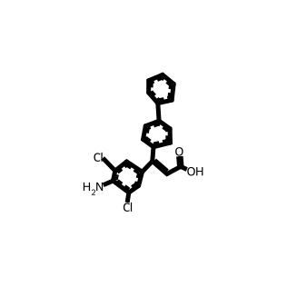 Nc1c(Cl)cc(C(=CC(=O)O)c2ccc(-c3ccccc3)cc2)cc1Cl